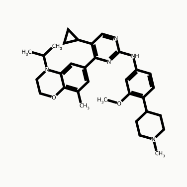 COc1cc(Nc2ncc(C3CC3)c(-c3cc(C)c4c(c3)N(C(C)C)CCO4)n2)ccc1C1CCN(C)CC1